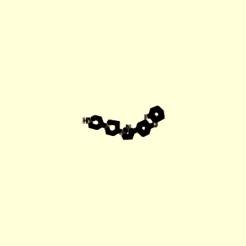 Fc1ccccc1Oc1ccc(-c2ccn(C3CCN(C4CCNCC4)CC3)n2)cc1